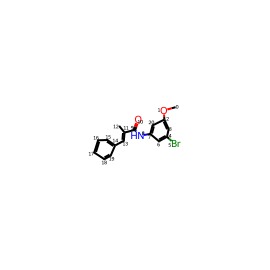 COc1cc(Br)cc(NC(=O)C(C)=Cc2ccccc2)c1